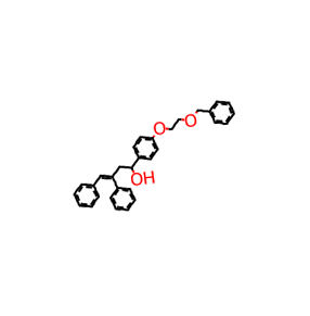 OC(CC(=Cc1ccccc1)c1ccccc1)c1ccc(OCCOCc2ccccc2)cc1